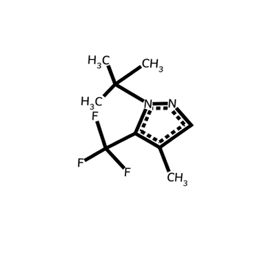 Cc1cnn(C(C)(C)C)c1C(F)(F)F